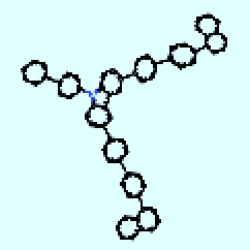 c1ccc(-c2ccc(-n3c4ccc(-c5ccc(-c6ccc(-c7cccc8ccccc78)cc6)cc5)cc4c4cc(-c5ccc(-c6ccc(-c7cccc8ccccc78)cc6)cc5)ccc43)cc2)cc1